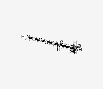 NCCOCCOCCOCCOCCNC(=O)CCCC[C@@H]1SC[C@@H]2NC(=O)N[C@@H]21